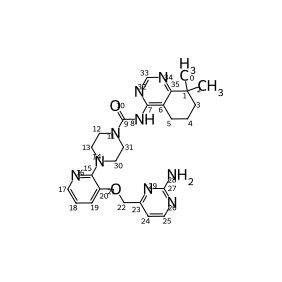 CC1(C)CCCc2c(NC(=O)N3CCN(c4ncccc4OCc4ccnc(N)n4)CC3)ncnc21